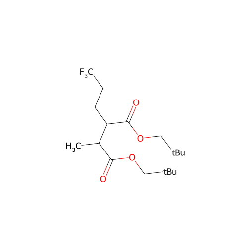 CC(C(=O)OCC(C)(C)C)C(CCC(F)(F)F)C(=O)OCC(C)(C)C